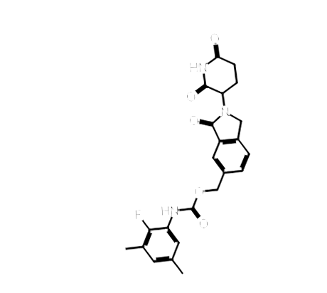 Cc1cc(C)c(F)c(NC(=O)OCc2ccc3c(c2)C(=O)N(C2CCC(=O)NC2=O)C3)c1